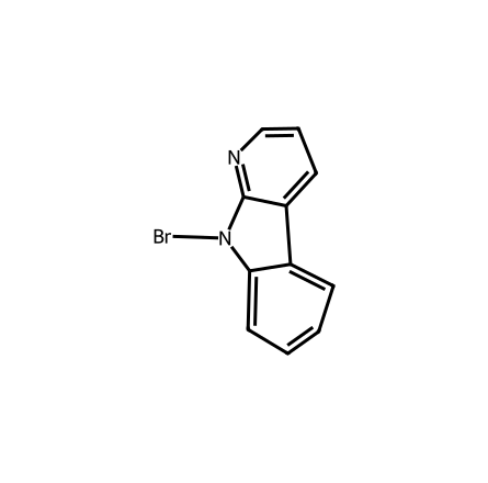 Brn1c2ccccc2c2cccnc21